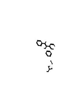 C/C=C\C(=C/C)C1=C(C)c2cc(O)ccc2O[C@H]1c1ccc(OCCN2CC(CF)C2)cc1